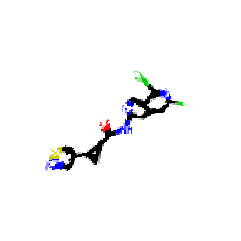 O=C(Nc1cc2cc(Cl)nc(Cl)c2cn1)C1CC1c1cnsc1